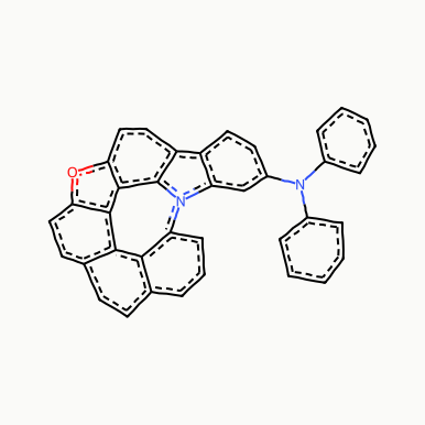 c1ccc(N(c2ccccc2)c2ccc3c4ccc5oc6ccc7ccc8cccc9c8c7c6c5c4n9c3c2)cc1